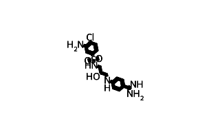 N=C(N)c1ccc(NCC(O)CNS(=O)(=O)c2ccc(Cl)c(N)c2)cc1